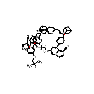 C#Cc1ccc(/C=C/CN2C3CC2CN(c2ccc(-c4cc(OCC(C)(C)Oc5cc(CCN6C7CC6CN(c6ccc(-c8cc(OCC(C)(C)O)cn9ncc(C#N)c89)cn6)C7)ncc5C#C)cn5ncc(C#N)c45)cn2)C3)nc1